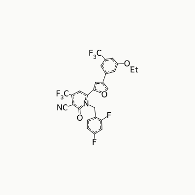 CCOc1cc(-c2coc(-c3cc(C(F)(F)F)c(C#N)c(=O)n3Cc3ccc(F)cc3F)c2)cc(C(F)(F)F)c1